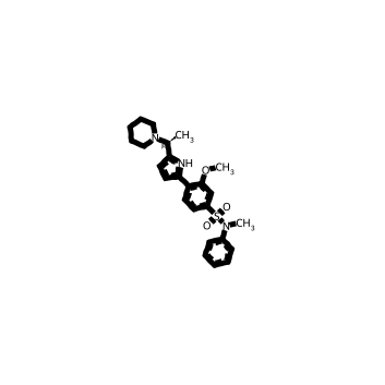 COc1cc(S(=O)(=O)N(C)c2ccccc2)ccc1-c1ccc([C@@H](C)N2CCCCC2)[nH]1